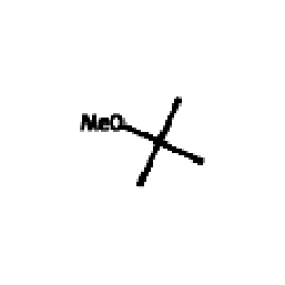 CC(C)(C)O[1C]